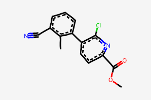 COC(=O)c1ccc(-c2cccc(C#N)c2C)c(Cl)n1